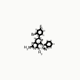 Cc1nc(N)nc2c1C(n1nnc3ccccc31)=NC(c1ccc(F)cc1Br)C2